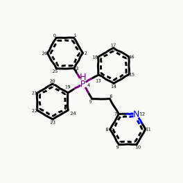 c1ccc([PH](CCc2ccccn2)(c2ccccc2)c2ccccc2)cc1